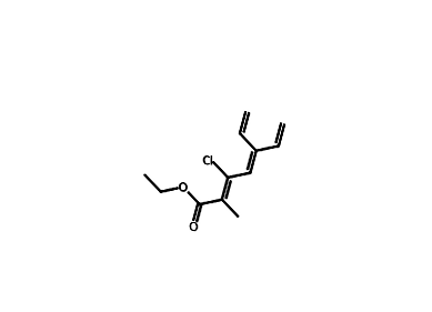 C=CC(C=C)=C/C(Cl)=C(\C)C(=O)OCC